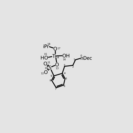 CCCCCCCCCCCCCc1ccccc1S(=O)(=O)[O][Ti]([OH])([OH])[O]C(C)C